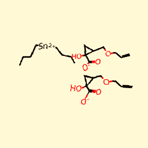 C=CCOCC1CC1(O)C(=O)[O-].C=CCOCC1CC1(O)C(=O)[O-].CCC[CH2][Sn+2][CH2]CCC